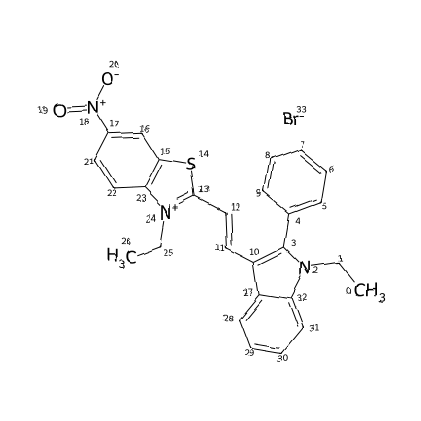 CCn1c(-c2ccccc2)c(/C=C/c2sc3cc([N+](=O)[O-])ccc3[n+]2CC)c2ccccc21.[Br-]